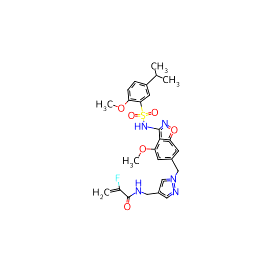 C=C(F)C(=O)NCc1cnn(Cc2cc(OC)c3c(NS(=O)(=O)c4cc(C(C)C)ccc4OC)noc3c2)c1